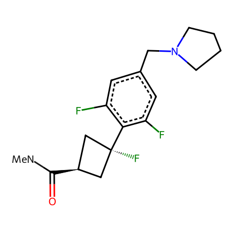 CNC(=O)[C@H]1C[C@@](F)(c2c(F)cc(CN3CCCC3)cc2F)C1